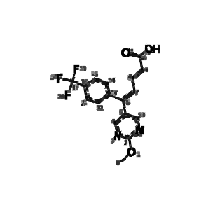 COc1ncc(/C(=C/C=C/C(=O)O)c2ccc(C(F)(F)F)cc2)cn1